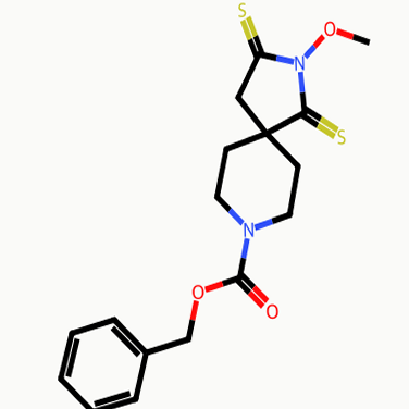 CON1C(=S)CC2(CCN(C(=O)OCc3ccccc3)CC2)C1=S